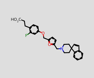 O=C(O)CCc1ccc(OCc2ccc(CN3CCC4(C=Cc5ccccc54)CC3)o2)cc1F